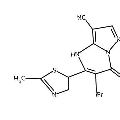 CC1=NCC(c2[nH]c3c(C#N)cnn3c(=O)c2C(C)C)S1